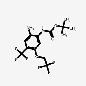 CC(C)(C)OC(=O)Nc1cc(OCC(F)(F)F)c(C(F)(F)F)cc1N